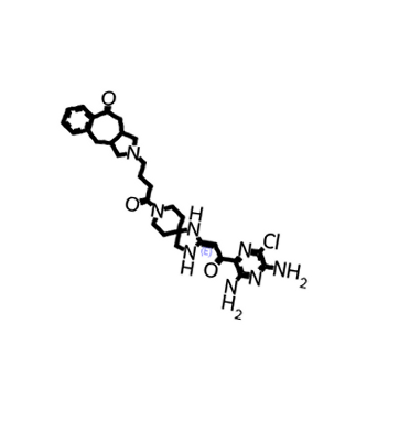 Nc1nc(N)c(C(=O)/C=C2\NCC3(CCN(C(=O)CCCN4CC5CC(=O)c6ccccc6CC5C4)CC3)N2)nc1Cl